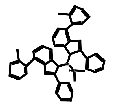 Cc1ccccc1-c1cccc2c1C=C(c1ccccc1)[CH]2[Zr]([CH]1C(c2ccccc2)=Cc2c(-c3ccccc3C)cccc21)[SiH](C)C